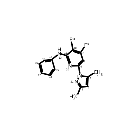 Cc1cc(C)n(-c2cc(F)c(F)c(Nc3ccccc3)n2)n1